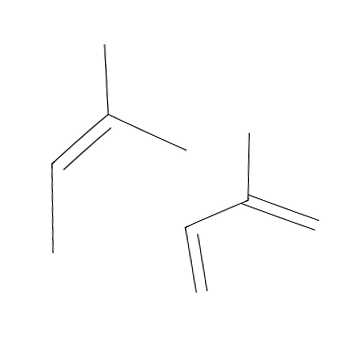 C=CC(=C)C.CC=C(C)C